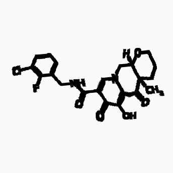 C[C@]12CCCO[C@H]1Cn1cc(C(=O)NCc3cccc(Cl)c3F)c(=O)c(O)c1C2=O